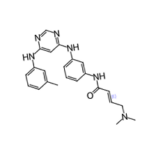 Cc1cccc(Nc2cc(Nc3cccc(NC(=O)/C=C/CN(C)C)c3)ncn2)c1